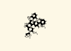 C=CC(=O)N1CC2C(=O)Nc3c(c4cc(F)c(-c5c(N)cccc5F)nc4n(-c4c(C)ccnc4C(C)C)c3=O)N2CC1C